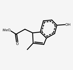 COC(=O)CC1C(C)=Cc2cc(O)ccc21